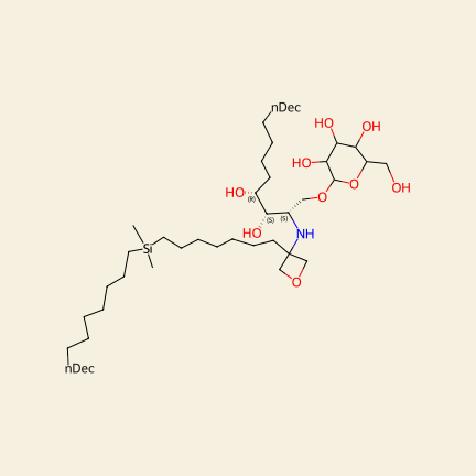 CCCCCCCCCCCCCCCCC[Si](C)(C)CCCCCCCC1(N[C@@H](COC2OC(CO)C(O)C(O)C2O)[C@H](O)[C@H](O)CCCCCCCCCCCCCC)COC1